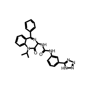 CC(C)N1C(=O)C(NC(=O)Nc2cccc(-c3nnn[nH]3)c2)N=C(c2ccccc2)c2ccccc21